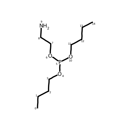 CCCCOP(OCCN)OCCCC